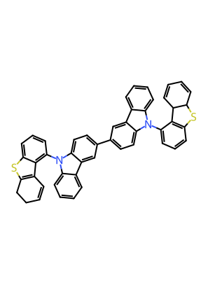 C1=CC2Sc3cccc(-n4c5ccccc5c5cc(-c6ccc7c(c6)c6ccccc6n7-c6cccc7sc8c(c67)C=CCC8)ccc54)c3C2C=C1